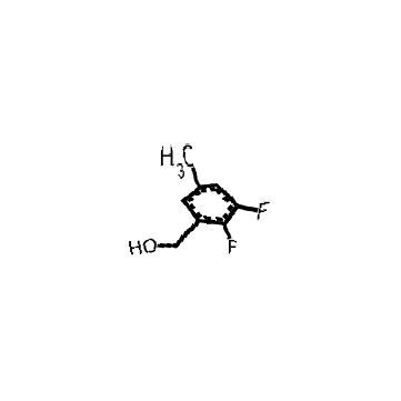 Cc1cc(F)c(F)c(CO)c1